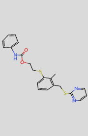 Cc1c(CSc2ncccn2)cccc1SCCOC(=O)Nc1ccccc1